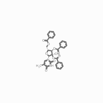 Cc1cn([C@@H]2O[C@H](COC(=O)c3ccccc3)[C@@H](OC(=O)c3ccccc3)[C@@]2(C)OC(=O)c2ccccc2)c(=O)[nH]c1=O